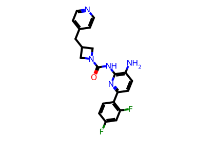 Nc1ccc(-c2ccc(F)cc2F)nc1NC(=O)N1CC(Cc2ccncc2)C1